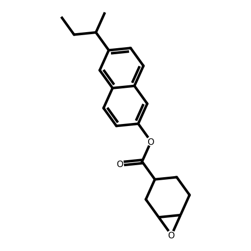 CCC(C)c1ccc2cc(OC(=O)C3CCC4OC4C3)ccc2c1